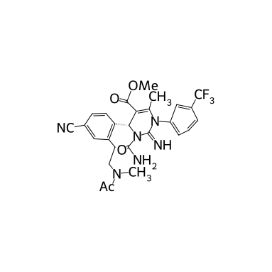 COC(=O)C1=C(C)N(c2cccc(C(F)(F)F)c2)C(=N)N(C(N)=O)[C@@H]1c1ccc(C#N)cc1CCN(C)C(C)=O